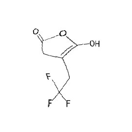 O=C1CC(CC(F)(F)F)=C(O)O1